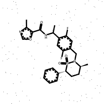 Cc1ncoc1C(=O)NC(C)c1cc(F)c(CN2[C@@H](C)CC[C@H](c3ccccc3)S2(=O)=O)cc1F